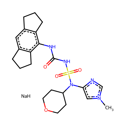 Cn1cnc(N(C2CCOCC2)S(=O)(=O)NC(=O)Nc2c3c(cc4c2CCC4)CCC3)c1.[NaH]